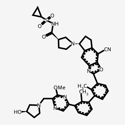 COc1nc(-c2cccc(-c3cccc(-c4nc5cc6c(c(C#N)c5o4)CC[C@H]6N4CC[C@@H](C(=O)NS(=O)(=O)C5CC5)C4)c3C)c2C)cnc1CN1CC[C@@H](O)C1